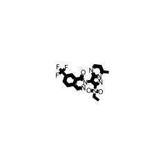 CCS(=O)(=O)c1nn2c(C)ccnc2c1-n1ncc2ccc(C(F)(F)F)cc2c1=O